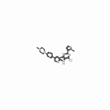 CN1CCN(c2ccc(-c3cnc4[nH]c5c(Cl)nc(-c6ccnn6C)nc5c4c3)cc2)CC1